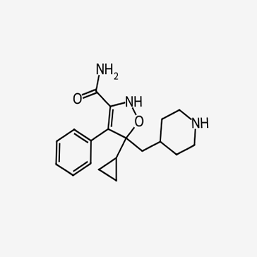 NC(=O)C1=C(c2ccccc2)C(CC2CCNCC2)(C2CC2)ON1